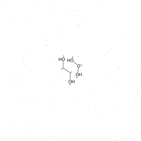 OCCO.OOO